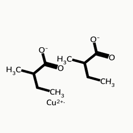 CCC(C)C(=O)[O-].CCC(C)C(=O)[O-].[Cu+2]